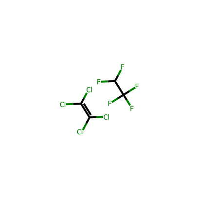 ClC(Cl)=C(Cl)Cl.FC(F)C(F)(F)F